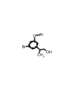 C[C](CO)c1cc(Br)cc(OC(C)C)c1